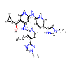 COc1c(-c2ncn(C)n2)ccnc1Nc1cc(Nc2ccc(-c3cn(C)cn3)cn2)ncc1C(=O)C1CC1